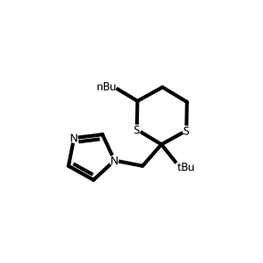 CCCCC1CCSC(Cn2ccnc2)(C(C)(C)C)S1